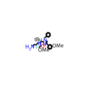 COCC(=O)N(CC(F)CN)[C@@H](c1nc(-c2cccc(OC)c2)cn1Cc1ccccc1)C(C)(C)C